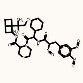 CCC(C)(C)C12CCC1CC2OC(=O)C1CSCCN1C(=O)C(NC(=O)C(Cc1ccc(N=O)c(N=O)c1)N=O)C1CCCCC1